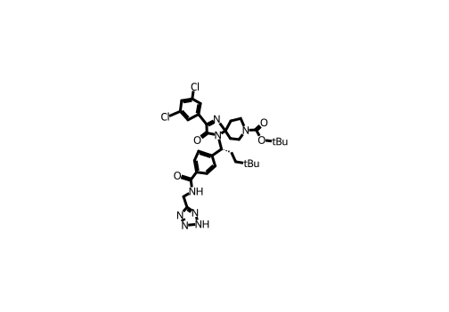 CC(C)(C)CC[C@H](c1ccc(C(=O)NCc2nn[nH]n2)cc1)N1C(=O)C(c2cc(Cl)cc(Cl)c2)=NC12CCN(C(=O)OC(C)(C)C)CC2